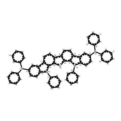 c1ccc(N(c2ccccc2)c2ccc3c(c2)c2ccc4c5ccc6c7cc(N(c8ccccc8)c8ccccc8)ccc7n(-c7ccccc7)c6c5oc4c2n3-c2ccccc2)cc1